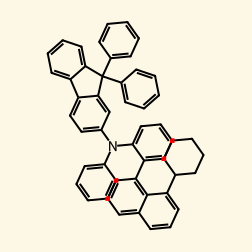 c1ccc(N(c2ccc3c(c2)C(c2ccccc2)(c2ccccc2)c2ccccc2-3)c2ccccc2-c2cccc3cccc(C4CCCCC4)c23)cc1